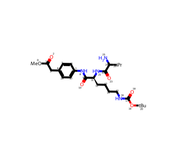 COC(=O)Cc1ccc(NC(=O)[C@H](CCCCNC(=O)OC(C)(C)C)NC(=O)C(N)C(C)C)cc1